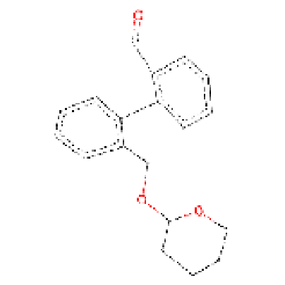 O=Cc1ccccc1-c1ccccc1COC1CCCCO1